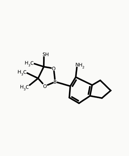 CC1(C)OB(c2ccc3c(c2N)CCC3)OC1(C)S